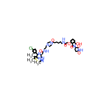 Cc1sc2c(c1C)C(c1ccc(Cl)cc1)=N[C@@H](CC(=O)NCCCN1CCN(C(=O)CCCCCNC(=O)COc3cccc4c3C(=O)N(C3CCC(=O)NC3=O)C4O)CC1)c1nnc(C)n1-2